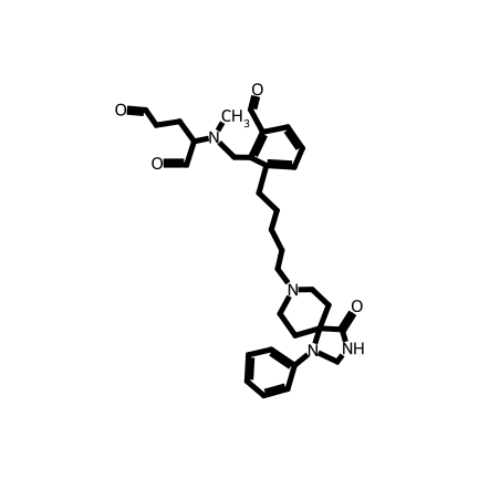 CN(Cc1c(C=O)cccc1CCCCCN1CCC2(CC1)C(=O)NCN2c1ccccc1)C(C=O)CCC=O